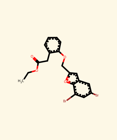 CCOC(=O)Cc1ccccc1OCc1cc2cc(Br)cc(Br)c2o1